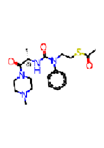 CC(=O)SCCN(C(=O)N[C@@H](C)C(=O)N1CCN(C)CC1)c1ccccc1